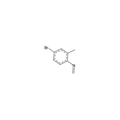 C=Nc1ccc(Br)cc1C